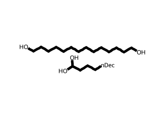 CCCCCCCCCCCCCC(O)O.OCCCCCCCCCCCCCCO